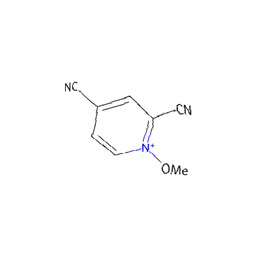 CO[n+]1ccc(C#N)cc1C#N